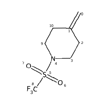 C=C1CCN(S(=O)(=O)C(F)(F)F)CC1